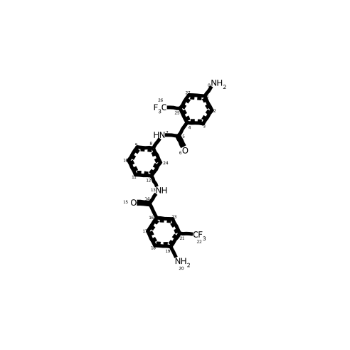 Nc1ccc(C(=O)Nc2cccc(NC(=O)c3ccc(N)c(C(F)(F)F)c3)c2)c(C(F)(F)F)c1